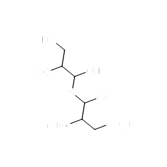 CCCCCCC(CC(=O)O)C(C)SC(O)C(O)CO